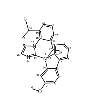 COc1ccc2c3ccccc3n(-c3nccn3-c3c(C(C)C)cccc3C(C)C)c2c1